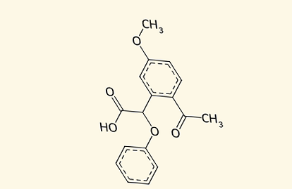 COc1ccc(C(C)=O)c(C(Oc2ccccc2)C(=O)O)c1